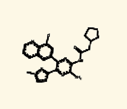 Cn1ccc(-c2nc(N)c(NC(=O)CC3CCCC3)nc2-c2cc(Cl)c3ncccc3c2)n1